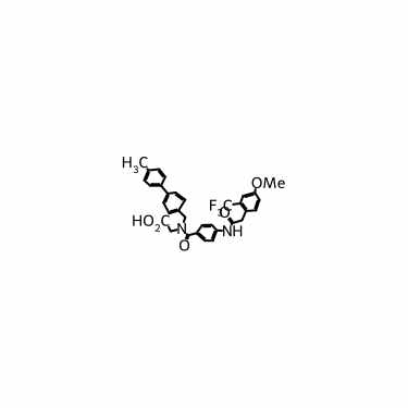 COc1ccc(CC(=O)Nc2ccc(C(=O)N(CC(=O)O)Cc3ccc(-c4ccc(C)cc4)cc3)cc2)c(C(F)(F)F)c1